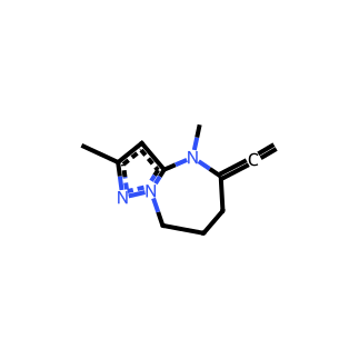 C=C=C1CCCn2nc(C)cc2N1C